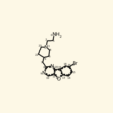 NCCN1CCC(Cc2ncc3oc4ccc(Br)cc4c3n2)CC1